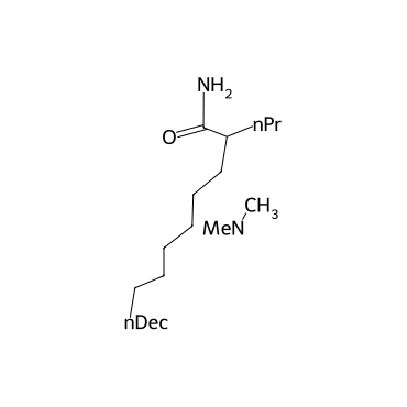 CCCCCCCCCCCCCCCCC(CCC)C(N)=O.CNC